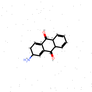 NC1C=C2C(=O)C3C=CC=CC3C(=O)C2=CC1